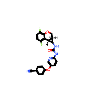 N#Cc1ccc(Oc2ccc(NC(=O)NC3[C@H]4COc5c(F)ccc(F)c5[C@@H]34)nc2)cc1